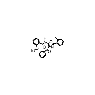 CCOc1ccccc1CNc1oc(-c2ccccc2C)nc1S(=O)(=O)c1ccccc1